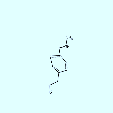 CNCc1ccc(C[C]=O)cc1